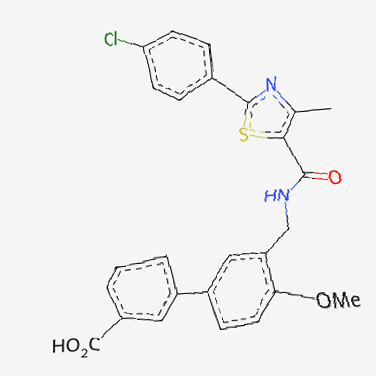 COc1ccc(-c2cccc(C(=O)O)c2)cc1CNC(=O)c1sc(-c2ccc(Cl)cc2)nc1C